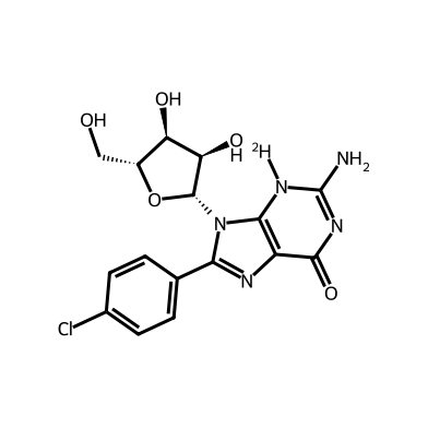 [2H]n1c(N)nc(=O)c2nc(-c3ccc(Cl)cc3)n([C@@H]3O[C@H](CO)[C@@H](O)[C@H]3O)c21